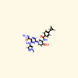 Cn1cc(Nc2nc(N3CC[C@H](O)[C@@H](NC(=O)c4ccc(C5CC5)cc4)C3)cnc2C(N)=O)cn1